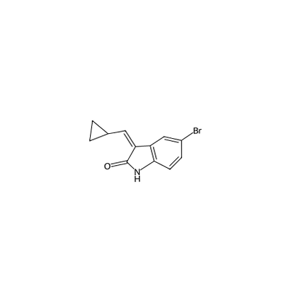 O=C1Nc2ccc(Br)cc2C1=CC1CC1